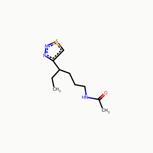 CCC(CCCNC(C)=O)c1csnn1